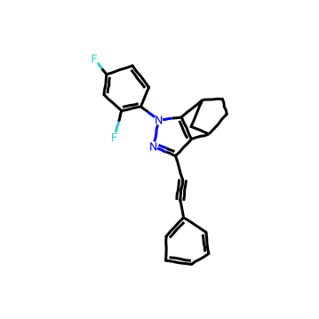 Fc1ccc(-n2nc(C#Cc3ccccc3)c3c2C2CCC3C2)c(F)c1